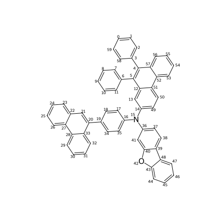 c1ccc(-c2c(-c3ccccc3)c3cc(N(c4ccc(-c5cc6ccccc6c6ccccc56)cc4)c4ccc5c(c4)oc4ccccc45)ccc3c3ccccc23)cc1